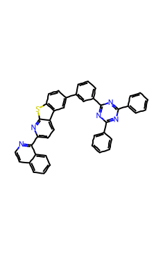 c1ccc(-c2nc(-c3ccccc3)nc(-c3cccc(-c4ccc5sc6nc(-c7nccc8ccccc78)ccc6c5c4)c3)n2)cc1